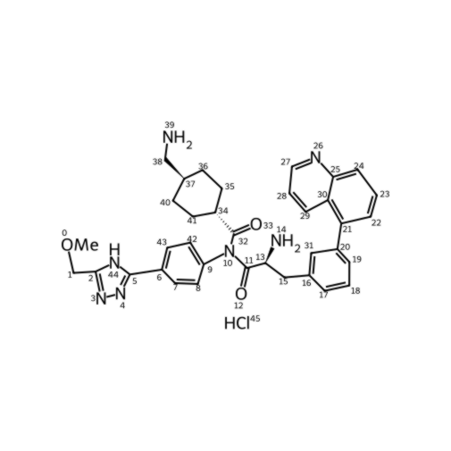 COCc1nnc(-c2ccc(N(C(=O)[C@@H](N)Cc3cccc(-c4cccc5ncccc45)c3)C(=O)[C@H]3CC[C@H](CN)CC3)cc2)[nH]1.Cl